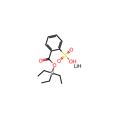 CC[Si](CC)(CC)OC(=O)c1ccccc1S(=O)(=O)O.[LiH]